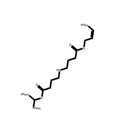 CCCCCC/C=C\COC(=O)CCCNCCCC(=O)OC(CCCCC)CCCCC